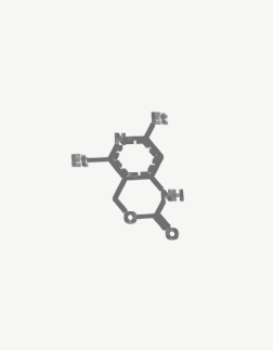 CCc1cc2c(c(CC)n1)COC(=O)N2